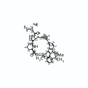 CCn1c(-c2cccnc2[C@H](C)OC)c2c3cc(ccc31)-c1csc(n1)C[C@H](NC(=O)C1[C@@H](CF)[C@@H]1CF)C(=O)N1CCC[C@H](N1)C(=O)OCC(C)(C)C2